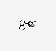 Brc1nc(-c2cccc3ccccc23)c[nH]1